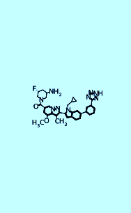 COc1cc(C(=O)N2C[C@H](N)C[C@@H](F)C2)cn2nc(-c3cc4ccc(-c5cccc(-c6nn[nH]n6)c5)cc4n3CC3CC3)c(C)c12